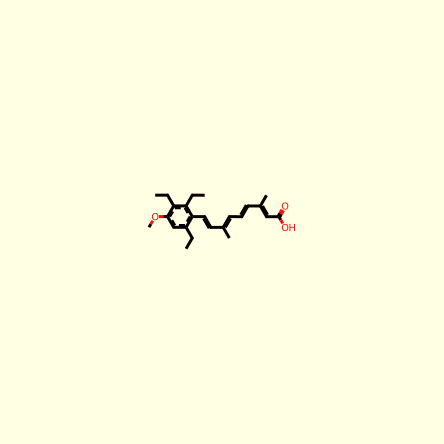 CCc1cc(OC)c(CC)c(CC)c1C=CC(C)=CC=CC(C)=CC(=O)O